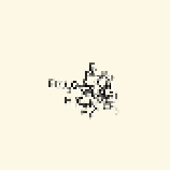 CCOC(=O)c1nc(C(=O)N2CCC[C@@H]2C)c(-c2c(C(F)F)ccnc2N[C@@H](CC)C(F)(F)F)s1